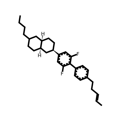 C/C=C/CCc1ccc(-c2c(F)cc([C@@H]3CC[C@@H]4CC(CCCC)CC[C@@H]4C3)cc2F)cc1